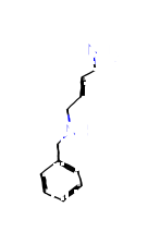 NCC=CCNCc1ccccc1